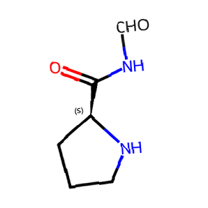 O=CNC(=O)[C@@H]1CCCN1